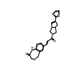 O=C1COCc2cc(/C=C/C(=O)N3CC4C=C(c5nccs5)CC4C3)cnc2N1